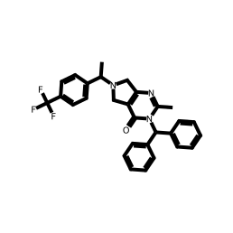 Cc1nc2c(c(=O)n1C(c1ccccc1)c1ccccc1)CN(C(C)c1ccc(C(F)(F)F)cc1)C2